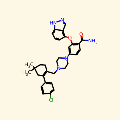 CC1(C)CCC(CN2CCN(c3ccc(C(N)=O)c(Oc4cccc5[nH]ncc45)c3)CC2)=C(c2ccc(Cl)cc2)C1